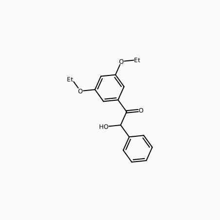 CCOc1cc(OCC)cc(C(=O)C(O)c2ccccc2)c1